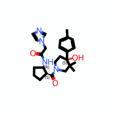 Cc1ccc([C@@]2(O)CCN(C(=O)[C@H]3CCC[C@H]3NC(=O)Cn3ccnc3)CC2(C)C)cc1